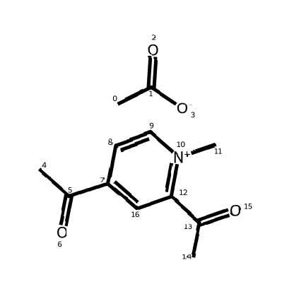 CC(=O)[O-].CC(=O)c1cc[n+](C)c(C(C)=O)c1